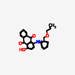 C=CCOCc1ccccc1Nc1ccc(O)c2c1C(=O)c1ccccc1C2=O